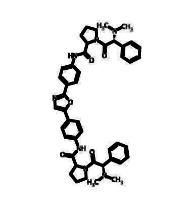 CN(C)[C@@H](C(=O)N1CCCC1C(=O)Nc1ccc(-c2cnc(-c3ccc(NC(=O)C4CCCN4C(=O)[C@@H](c4ccccc4)N(C)C)cc3)o2)cc1)c1ccccc1